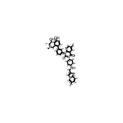 C[C@H](CO)N(C)Cc1cc(O)ccc1-c1cccc(-n2c(=O)n([C@H]3CC[C@@H](NCc4cn5cc(F)ccc5n4)CC3)c(=O)c3cc(F)cnc32)c1